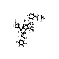 CN1CCN(c2cccc(NC(=O)c3nn4c(-c5cn[nH]c5)cc(N5Cc6ccccc6C5)nc4c3C(C)(C)C)c2)CC1